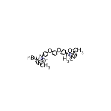 CCCCn1cc[n+](C)c1/C([O-])=N/c1ccc(Oc2cccc(Oc3ccc(/N=C(\[O-])c4n(C)cc[n+]4C)cc3)c2)cc1